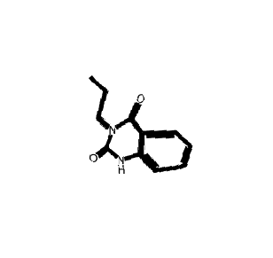 CCCn1c(=O)[nH]c2ccccc2c1=O